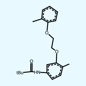 Cc1ccccc1OCCOc1cc(NC(=O)C(C)(C)C)ccc1C